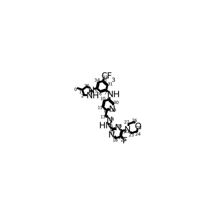 CC1CNN(c2cc(Nc3ccc(/C=N/Nc4ncc(F)c(N5CCOCC5)n4)nc3)cc(C(F)(F)F)c2)C1